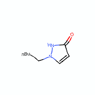 CCCCCn1ccc(=O)[nH]1